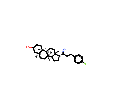 C[C@]12CC[C@H](O)C[C@@H]1CC[C@@H]1[C@@H]2CC[C@]2(C)[C@@H](C(=N)CCc3ccc(F)cc3)CC[C@@H]12